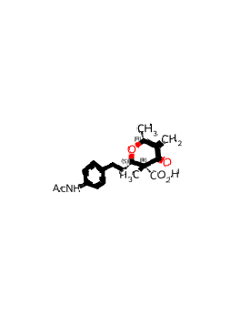 C=C1C(=O)[C@](C)(C(=O)O)[C@H](CCc2ccc(NC(C)=O)cc2)O[C@@H]1C